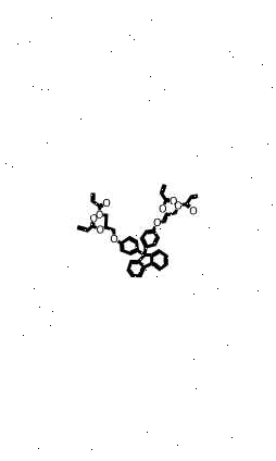 C=CC(=O)OCC(=COc1ccc(C2(c3ccc(OCC(COC(=O)C=C)OC(=O)C=C)cc3)c3ccccc3-c3ccccc32)cc1)OC(=O)C=C